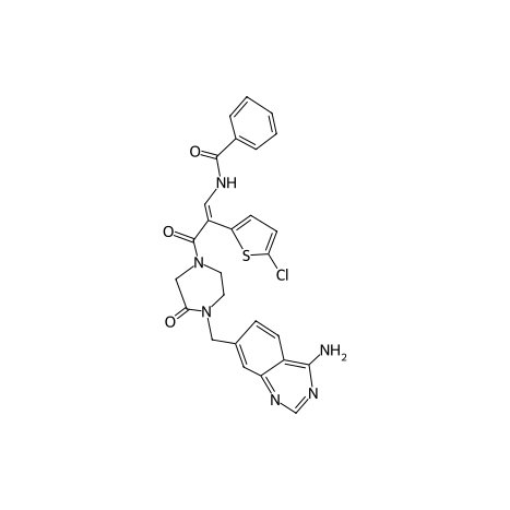 Nc1ncnc2cc(CN3CCN(C(=O)C(=CNC(=O)c4ccccc4)c4ccc(Cl)s4)CC3=O)ccc12